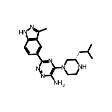 Cc1n[nH]c2ccc(-c3nnc(N)c(N4CCN[C@@H](CC(C)C)C4)n3)cc12